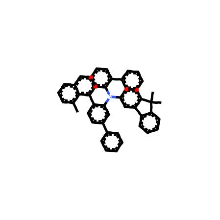 Cc1cccc2cccc(-c3ccc(-c4ccccc4)cc3N(c3ccc4c(c3)-c3ccccc3C4(C)C)c3ccccc3-c3ccccc3)c12